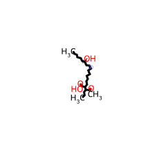 CCCCCC[C@@H](O)C/C=C\CCCCCCC(C(=O)O)C(CCC)C(C)=O